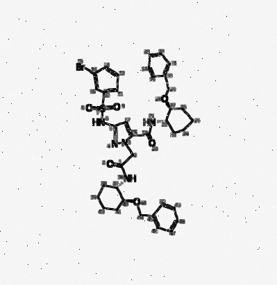 O=C(Cn1nc(NS(=O)(=O)c2cccc(Br)c2)cc1C(=O)N[C@H]1CCCC[C@@H]1OCc1ccccc1)N[C@H]1CCCC[C@@H]1OCc1ccccc1